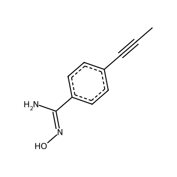 CC#Cc1ccc(/C(N)=N/O)cc1